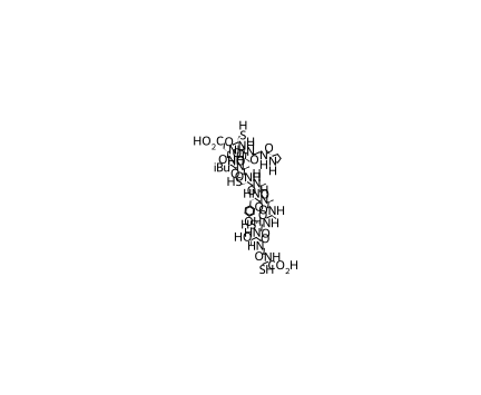 CC[C@H](C)[C@H](NC(=O)[C@H](CCC(=O)O)NC(=O)[C@H](CS)NC(=O)[C@@H](NC(=O)CNC(=O)[C@@H]1CCCN1)[C@@H](C)O)C(=O)N[C@@H](C)C(=O)N[C@@H](CS)C(=O)N[C@@H](C)C(=O)N[C@@H](Cc1ccc(O)cc1)C(=O)N[C@@H](C)C(=O)N[C@@H](C)C(=O)N[C@@H](CS)C(=O)N[C@H](C(=O)NCC(=O)N[C@@H](CS)C(=O)O)[C@@H](C)O